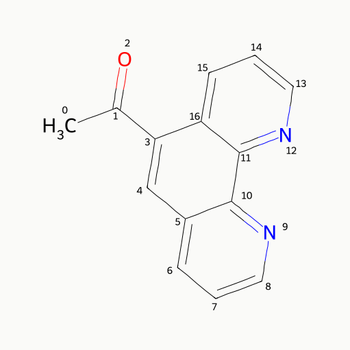 CC(=O)c1cc2cccnc2c2ncccc12